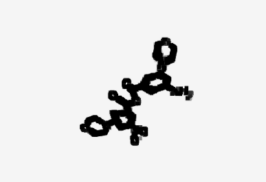 Nc1cc(C(=O)OC(=O)c2cc(N3CCOCC3)cc([N+](=O)[O-])c2)cc(N2CCOCC2)c1